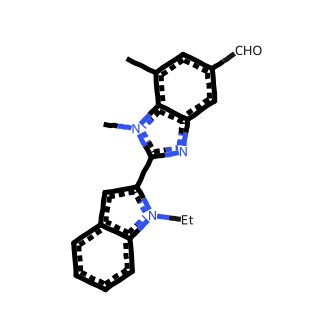 CCn1c(-c2nc3cc(C=O)cc(C)c3n2C)cc2ccccc21